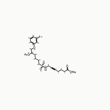 COC(=O)CCCC#CCNS(=O)(=O)CCCCC(COc1cccc(F)c1)OC(C)=O